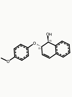 COc1ccc(O[C@H]2C=Cc3ccccc3[C@@H]2O)cc1